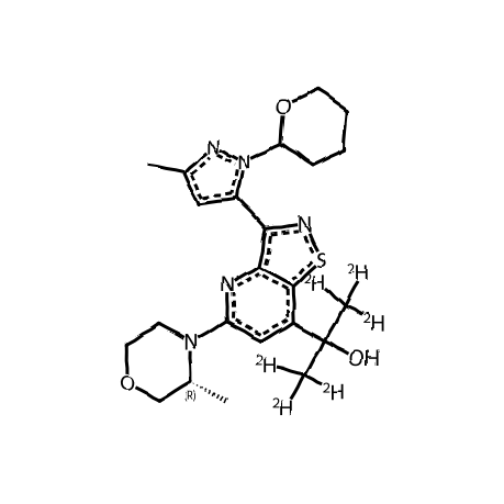 [2H]C([2H])([2H])C(O)(c1cc(N2CCOC[C@H]2C)nc2c(-c3cc(C)nn3C3CCCCO3)nsc12)C([2H])([2H])[2H]